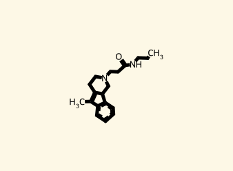 CCCNC(=O)CCN1CCC2=C(C)c3ccccc3C2C1